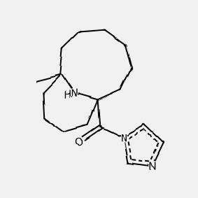 CC12CCCCCCC(C(=O)n3ccnc3)(CCCC1)N2